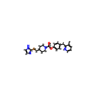 Cc1cccnc1Cc1ccc(OC(=O)N2CCC(CSc3ncc[nH]3)CC2)cc1